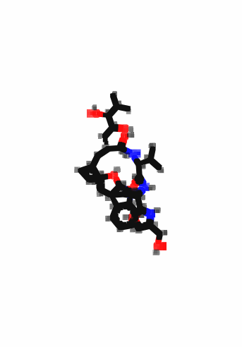 CC(C)[C@H](O)C(=O)C[C@H]1Cc2ccc3c(c2)[C@@]2(c4ccccc4NC2O3)c2oc(nc2-c2nc(CO)co2)[C@H](C(C)C)NC1=O